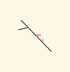 CCCCCCCCCCCCC(=O)CCCCCN(O)CCCCCCCCCCC(CCCCCCCC)CCCCCCCC